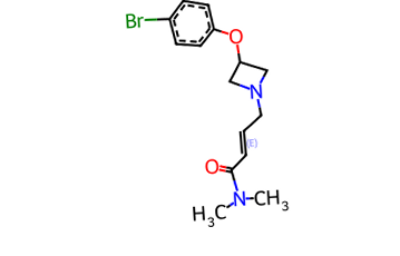 CN(C)C(=O)/C=C/CN1CC(Oc2ccc(Br)cc2)C1